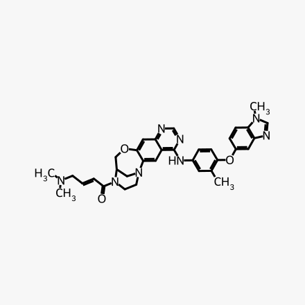 Cc1cc(Nc2ncnc3cc4c(cc23)N2CCN(C(=O)/C=C/CN(C)C)C(CO4)C2)ccc1Oc1ccc2c(c1)ncn2C